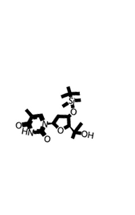 Cc1cn([C@H]2CC(O[Si](C)(C)C(C)(C)C)[C@@H](C(C)(C)O)O2)c(=O)[nH]c1=O